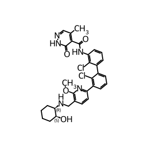 COc1nc(-c2cccc(-c3cccc(NC(=O)c4c(C)cn[nH]c4=O)c3Cl)c2Cl)ccc1CN[C@@H]1CCCC[C@@H]1O